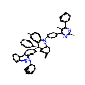 Cc1ccc2c(c1)C(c1ccccc1)(c1ccc3c(c1)c1ccccc1n3-c1ccccc1)c1cc(C)ccc1N2c1ccc(-c2nc(C)nc(-c3ccccc3)c2C)cc1